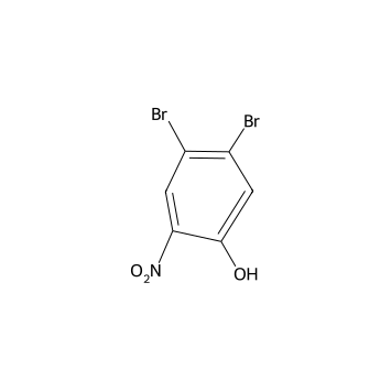 O=[N+]([O-])c1cc(Br)c(Br)cc1O